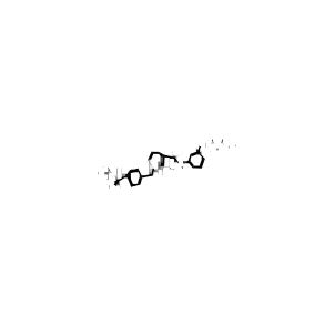 COc1cccc(NC(=O)c2cccn(Cc3ccc(C(=O)NO)cc3)c2=O)c1